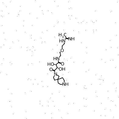 CC(=N)NCCOCCNC(=O)[C@H](O)[C@@H](O)C(=O)N1CCC2(CCNCC2)C1